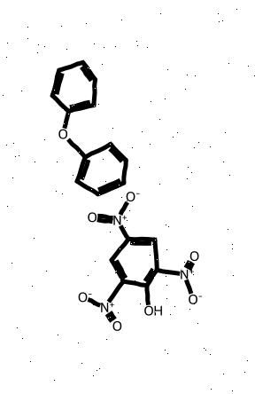 O=[N+]([O-])c1cc([N+](=O)[O-])c(O)c([N+](=O)[O-])c1.c1ccc(Oc2ccccc2)cc1